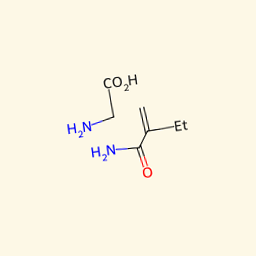 C=C(CC)C(N)=O.NCC(=O)O